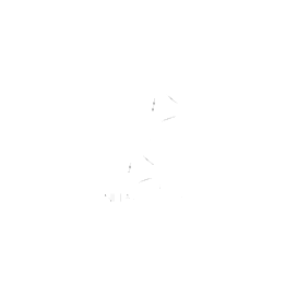 CC(=O)Nc1ccc(OCc2ccccc2)cc1C(=O)O